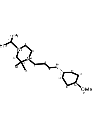 CCCC(CC)N1CCN(CCCC[C@H]2CC[C@H](OC)CC2)C(C)(C)C1